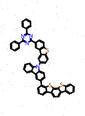 c1ccc(-c2nc(-c3ccccc3)nc(-c3ccc4sc5ccc(-n6c7ccccc7c7cc(-c8cccc9c8sc8c9ccc9c%10ccccc%10sc98)ccc76)cc5c4c3)n2)cc1